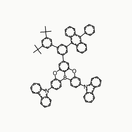 CC(C)(C)c1cc(-c2cc(-c3cc4c5c(c3)Oc3cc(-n6c7ccccc7c7ccccc76)ccc3B5c3ccc(-n5c6ccccc6c6ccccc65)cc3O4)cc(-c3c4ccccc4c(-c4ccccc4)c4ccccc34)c2)cc(C(C)(C)C)c1